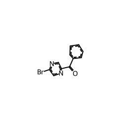 O=C(c1ccccc1)c1cnc(Br)cn1